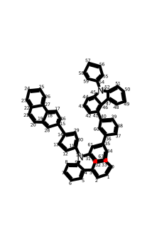 c1ccc(-c2ccccc2N(c2ccc(-c3ccc4c(ccc5ccccc54)c3)cc2)c2cccc(-c3cccc(-c4cccc5c4c4ccccc4n5-c4ccccc4)c3)c2)cc1